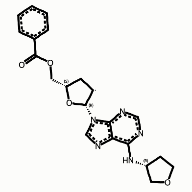 O=C(OC[C@@H]1C[CH][C@H](n2cnc3c(N[C@@H]4CCOC4)ncnc32)O1)c1ccccc1